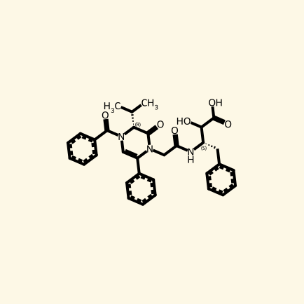 CC(C)[C@@H]1C(=O)N(CC(=O)N[C@@H](Cc2ccccc2)C(O)C(=O)O)C(c2ccccc2)=CN1C(=O)c1ccccc1